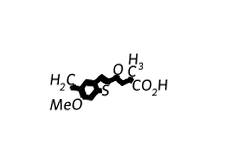 C=Cc1cc2cc(C(=O)CC(C)C(=O)O)sc2cc1OC